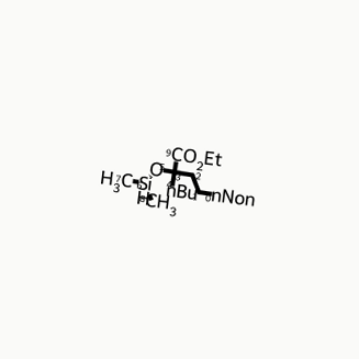 CCCCCCCCCCCC(CCCC)(O[SiH](C)C)C(=O)OCC